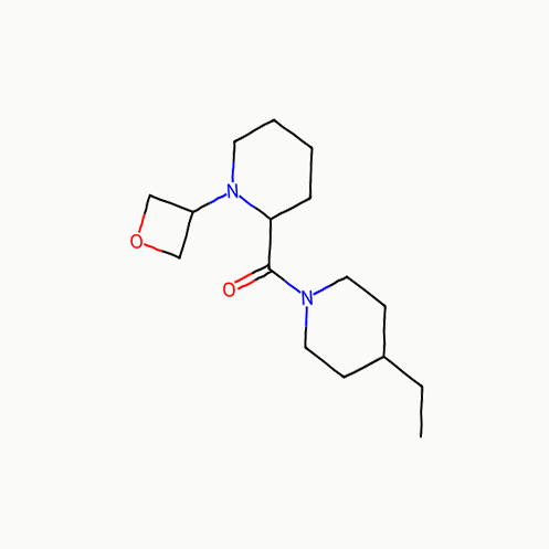 CCC1CCN(C(=O)C2CCCCN2C2COC2)CC1